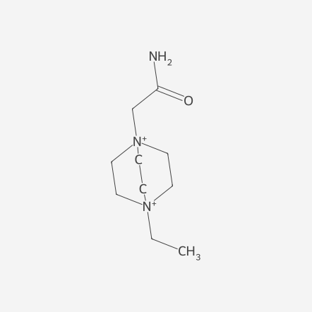 CC[N+]12CC[N+](CC(N)=O)(CC1)CC2